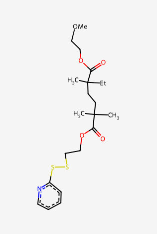 CCC(C)(CCC(C)(C)C(=O)OCCSSc1ccccn1)C(=O)OCCOC